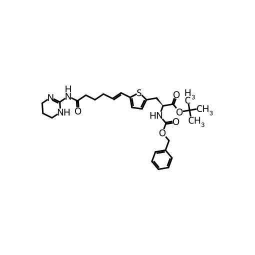 CC(C)(C)OC(=O)[C@H](Cc1ccc(/C=C/CCCC(=O)NC2=NCCCN2)s1)NC(=O)OCc1ccccc1